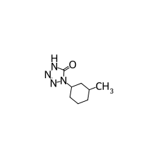 CC1CCCC(n2nn[nH]c2=O)C1